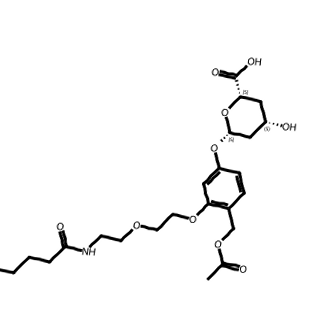 CCCCCC(=O)NCCOCCOc1cc(O[C@H]2C[C@@H](O)C[C@@H](C(=O)O)O2)ccc1COC(C)=O